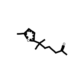 CC(=O)CCCC(C)(C)c1ccc(C)o1